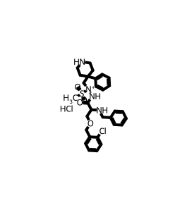 CS(=O)(=O)[N+]1(NC(=O)C(COCc2ccccc2Cl)NCc2ccccc2)CC2(CCNCC2)c2ccccc21.Cl